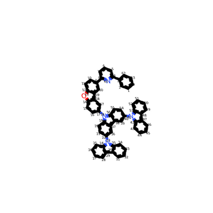 c1ccc(-c2cccc(-c3ccc4oc5ccc(-n6c7ccc(-n8c9ccccc9c9ccccc98)cc7c7cc(-n8c9ccccc9c9ccccc98)ccc76)cc5c4c3)n2)cc1